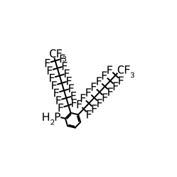 FC(F)(F)C(F)(F)C(F)(F)C(F)(F)C(F)(F)C(F)(F)C(F)(F)C(F)(F)c1cccc(P)c1C(F)(F)C(F)(F)C(F)(F)C(F)(F)C(F)(F)C(F)(F)C(F)(F)C(F)(F)F